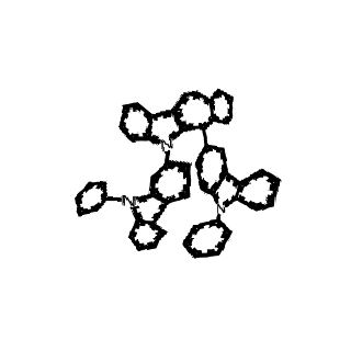 c1ccc(-n2c3ccccc3c3cc(-c4c5ccccc5cc5c6ccccc6n(-c6ccc7c8ccccc8n(-c8ccccc8)c7c6)c45)ccc32)cc1